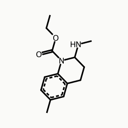 CCOC(=O)N1c2ccc(C)cc2CCC1NC